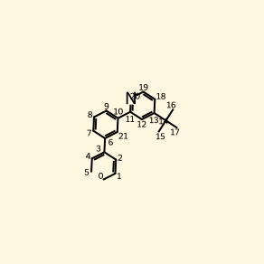 C/C=C\C(=C/C)c1cccc(-c2cc(C(C)(C)C)ccn2)c1